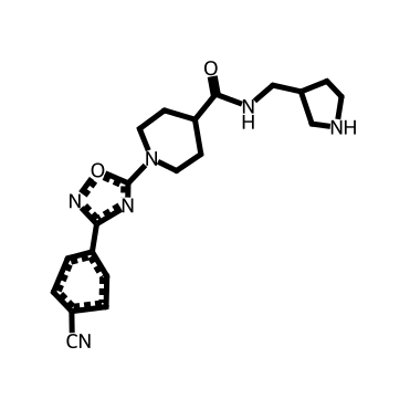 N#Cc1ccc(-c2noc(N3CCC(C(=O)NCC4CCNC4)CC3)n2)cc1